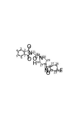 O=C1c2ccccc2C(=O)N1CC(O)CN1CCC(c2noc3cc(F)ccc23)CC1